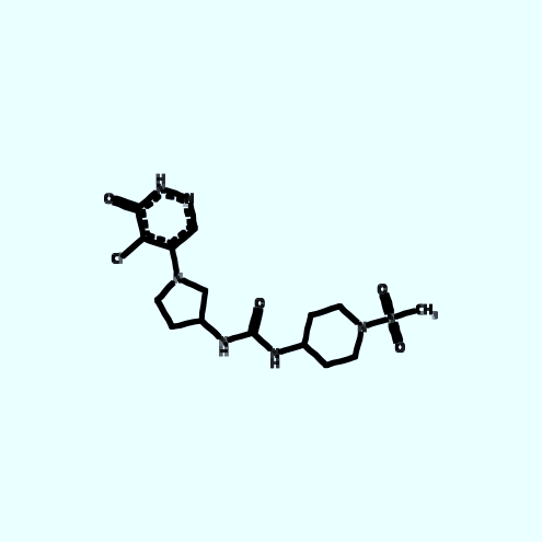 CS(=O)(=O)N1CCC(NC(=O)NC2CCN(c3cn[nH]c(=O)c3Cl)C2)CC1